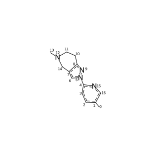 Cc1ccc(-n2cc3c(n2)CCN(C)C3)nc1